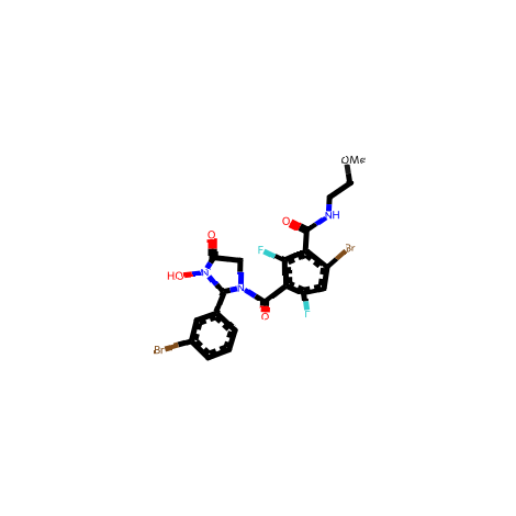 COCCNC(=O)c1c(Br)cc(F)c(C(=O)N2CC(=O)N(O)C2c2cccc(Br)c2)c1F